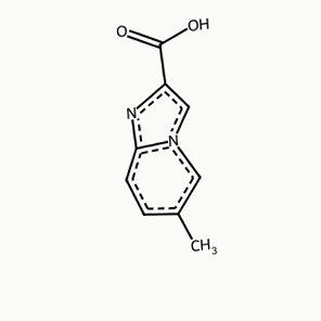 Cc1ccc2nc(C(=O)O)cn2c1